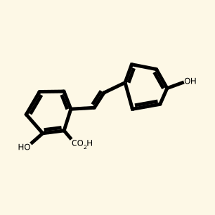 O=C(O)c1c(O)cccc1C=Cc1ccc(O)cc1